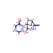 C=C1NC(=O)C2(n3ncncc3=O)CC1C2